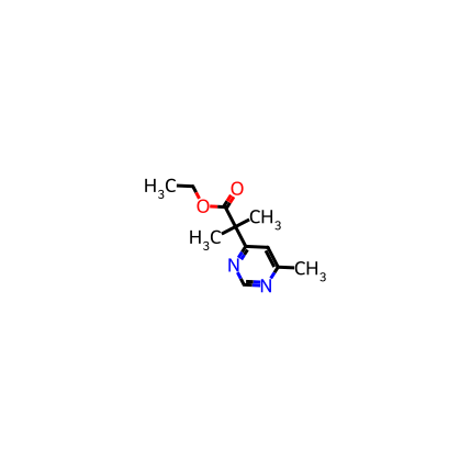 CCOC(=O)C(C)(C)c1cc(C)ncn1